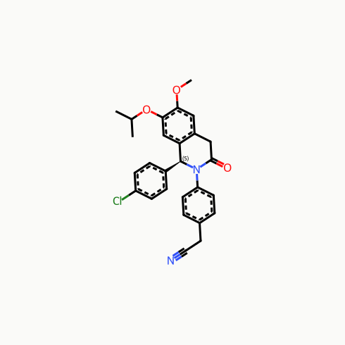 COc1cc2c(cc1OC(C)C)[C@H](c1ccc(Cl)cc1)N(c1ccc(CC#N)cc1)C(=O)C2